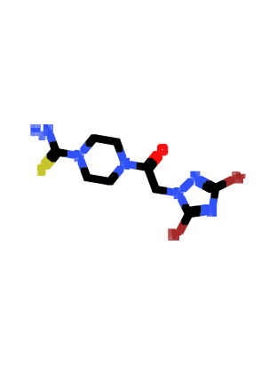 NC(=S)N1CCN(C(=O)Cn2nc(Br)nc2Br)CC1